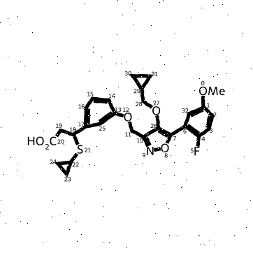 COc1ccc(F)c(-c2onc(COc3cccc(C(CC(=O)O)SC4CC4)c3)c2OCC2CC2)c1